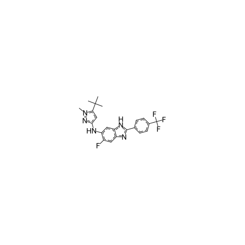 Cn1nc(Nc2cc3[nH]c(-c4ccc(C(F)(F)F)cc4)nc3cc2F)cc1C(C)(C)C